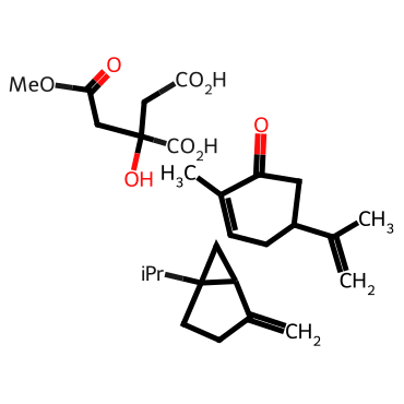 C=C(C)C1CC=C(C)C(=O)C1.C=C1CCC2(C(C)C)CC12.COC(=O)CC(O)(CC(=O)O)C(=O)O